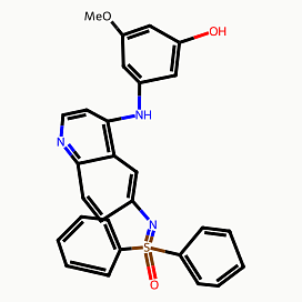 COc1cc(O)cc(Nc2ccnc3ccc(N=S(=O)(c4ccccc4)c4ccccc4)cc23)c1